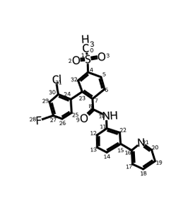 CS(=O)(=O)c1ccc(C(=O)Nc2cccc(-c3ccccn3)c2)c(-c2ccc(F)cc2Cl)c1